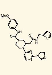 COc1ccc(NC(=O)N2CCN(c3ccnc(-n4ccnc4)n3)C(CC(=O)NCc3ccco3)C2)cc1